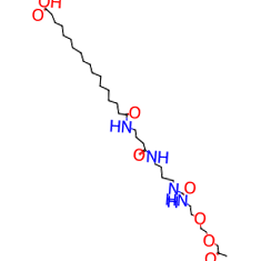 CC(=O)COCCOCCNC(=O)NCCCCNC(=O)CCCNC(=O)CCCCCCCCCCCCCCCCC(=O)O